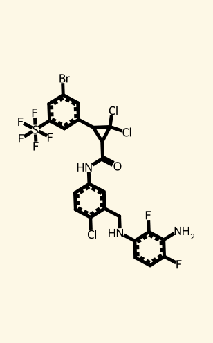 Nc1c(F)ccc(NCc2cc(NC(=O)C3C(c4cc(Br)cc(S(F)(F)(F)(F)F)c4)C3(Cl)Cl)ccc2Cl)c1F